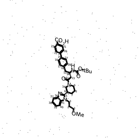 COCCCn1c([C@@H]2CCCN(C(=O)C[C@@H](Cc3ccc(-c4ccc(C(=O)O)cc4)cc3)NC(=O)OC(C)(C)C)C2)nc2ccccc21